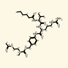 CCCCCC(=O)N[C@H](C(=O)N[C@@H](CCCNC(N)=O)C(=O)Nc1ccc(COC(=O)N(C)CCOC(C)=O)cc1)C(C)C